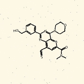 CN(C)C(=O)c1cc(C=S)c2nc(-c3cccc(CO)c3)nc(N3CCOCC3)c2n1